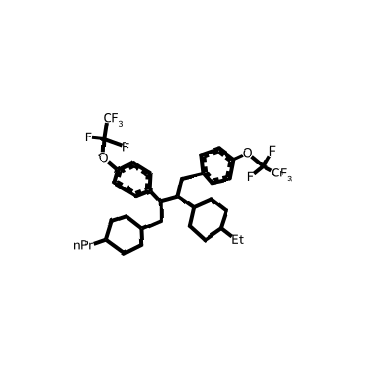 CCCC1CCC(CC(c2ccc(OC(F)(F)C(F)(F)F)cc2)C(Cc2ccc(OC(F)(F)C(F)(F)F)cc2)C2CCC(CC)CC2)CC1